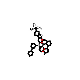 CC(C)(C)c1ccc2c3c(sc2c1)CCC(N(c1cccc(-c2ccccc2)c1)c1ccccc1C1=C=C=Cc2cccc(-c4ccc(F)cc4)c21)=C3